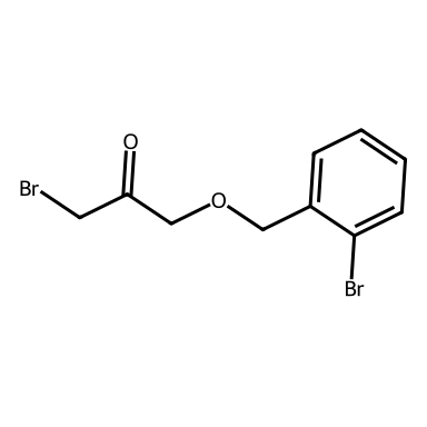 O=C(CBr)COCc1ccccc1Br